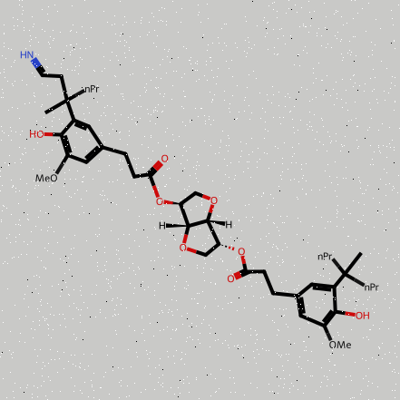 CCCC(C)(CC=N)c1cc(CCC(=O)O[C@H]2CO[C@H]3[C@@H]2OC[C@H]3OC(=O)CCc2cc(OC)c(O)c(C(C)(CCC)CCC)c2)cc(OC)c1O